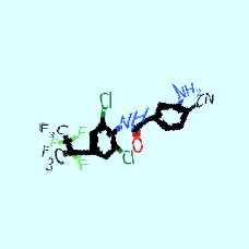 N#Cc1ccc(C(=O)Nc2c(Cl)cc(C(F)(C(F)(F)F)C(F)(F)C(F)(F)F)cc2Cl)cc1N